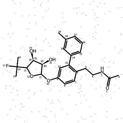 CC(=O)NCCc1ccc(OC2OC(C(C)(C)F)[C@@H](O)[C@H]2O)cc1-c1cccc(C)c1